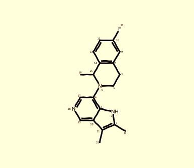 Cc1[nH]c2c(N3CCc4cc(F)ccc4C3C)cncc2c1C